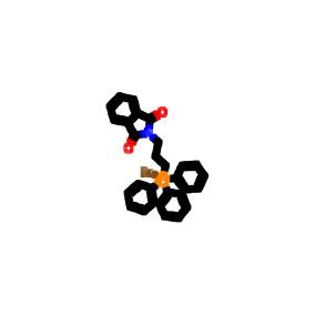 O=C1c2ccccc2C(=O)N1CCCP(Br)(c1ccccc1)(c1ccccc1)c1ccccc1